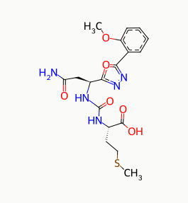 COc1ccccc1-c1nnc([C@H](CC(N)=O)NC(=O)N[C@@H](CCSC)C(=O)O)o1